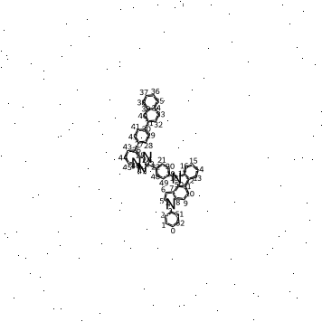 c1ccc(-n2ccc3c2ccc2c4ccccc4n(-c4ccc(-c5nc6c(-c7ccc(-c8ccc9ccccc9c8)cc7)cccn6n5)cc4)c23)cc1